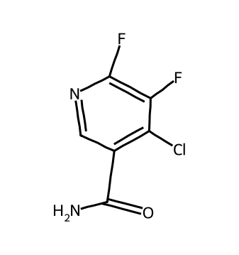 NC(=O)c1cnc(F)c(F)c1Cl